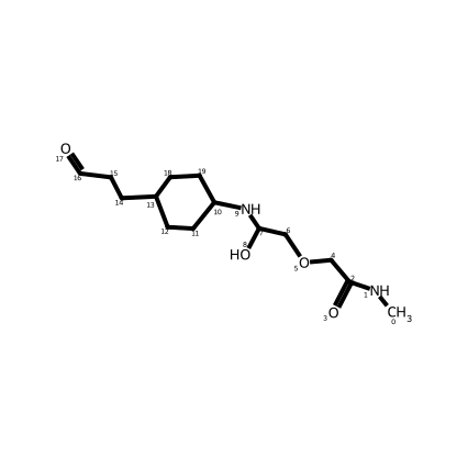 CNC(=O)COCC(O)NC1CCC(CCC=O)CC1